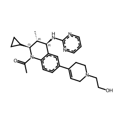 CC(=O)N1c2ccc(C3=CCN(CCO)CC3)cc2[C@H](Nc2ncccn2)[C@@H](C)[C@@H]1C1CC1